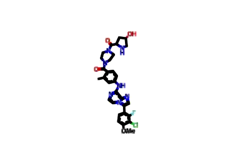 COc1ccc(-c2cnc3c(Nc4ccc(C(=O)N5CCN(C(=O)C6C[C@@H](O)CN6)CC5)c(C)c4)nccn23)c(F)c1Cl